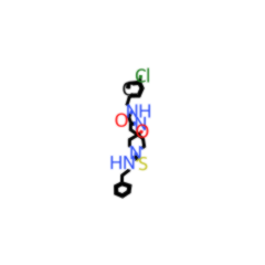 O=C(NCc1ccc(Cl)cc1)C1=NOC2(CCN(C(=S)NCCc3ccccc3)CC2)C1